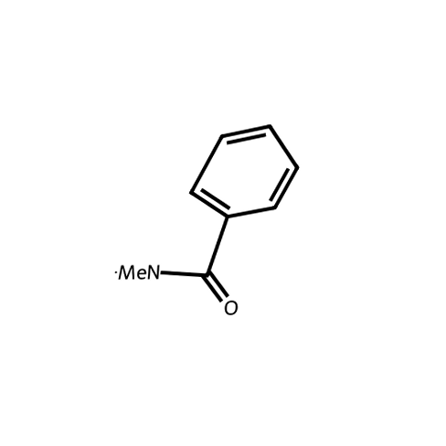 C[N]C(=O)c1ccccc1